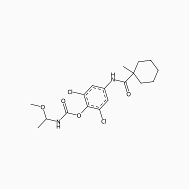 COC(C)NC(=O)Oc1c(Cl)cc(NC(=O)C2(C)CCCCC2)cc1Cl